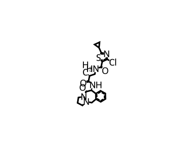 C[C@H](CNC(=O)c1sc(C2CC2)nc1Cl)C(=O)N[C@@H]1C(=O)N2CCCN2Cc2ccccc21